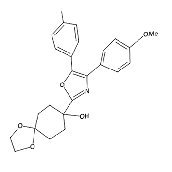 COc1ccc(-c2nc(C3(O)CCC4(CC3)OCCO4)oc2-c2ccc(C)cc2)cc1